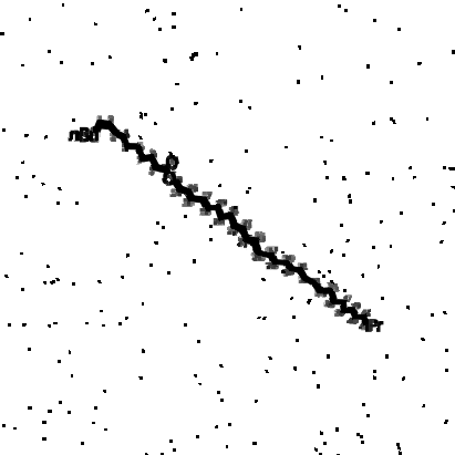 CCCC/C=C\CCCCCCCC(=O)OCCCCCCCCCCCCCCCCCCCCCCCCCCCCCC(C)C